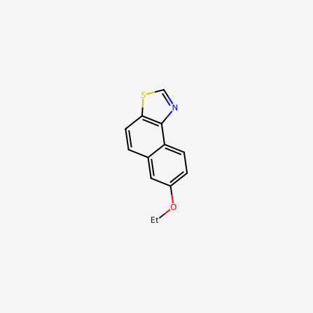 CCOc1ccc2c(ccc3scnc32)c1